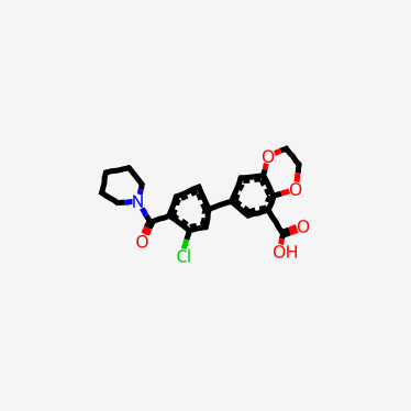 O=C(O)c1cc(-c2ccc(C(=O)N3CCCCC3)c(Cl)c2)cc2c1OCCO2